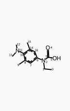 CCN(C(=O)O)c1cc(C)c(N(C)C)c(C)c1